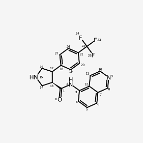 O=C(Nc1cccc2cnccc12)[C@H]1CNCC1c1ccc(C(F)(F)F)cc1